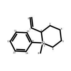 C=CC1CCCC[Si]1(C)c1ccccc1